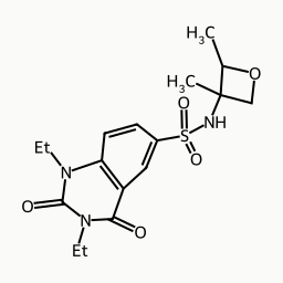 CCn1c(=O)c2cc(S(=O)(=O)NC3(C)COC3C)ccc2n(CC)c1=O